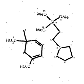 CC1(C(=O)O)C=CC=C(C(=O)O)C1.CO[Si](CCN1CCCC1)(OC)OC